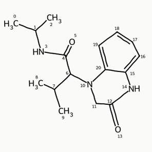 CC(C)NC(=O)C(C(C)C)N1CC(=O)Nc2ccccc21